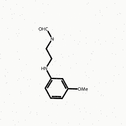 COc1cccc(NCC[N][C]=O)c1